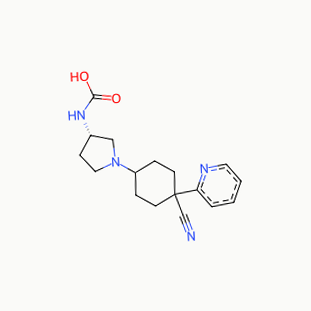 N#CC1(c2ccccn2)CCC(N2CC[C@H](NC(=O)O)C2)CC1